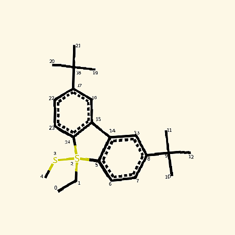 CCS1(SC)c2ccc(C(C)(C)C)cc2-c2cc(C(C)(C)C)ccc21